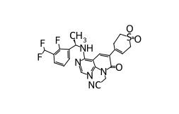 C[C@@H](Nc1ncnc2c1cc(C1=CCS(=O)(=O)CC1)c(=O)n2CC#N)c1cccc(C(F)F)c1F